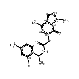 Cc1ccc([C@H](C)NC(=O)Cn2nc(C)c3cnn(C)c3c2=O)c(F)c1